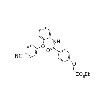 CCOC(=O)COc1ccc(C(=O)Nc2ccccc2Oc2ccc(C#N)cc2)cc1